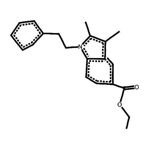 CCOC(=O)c1ccc2c(c1)c(C)c(C)n2CCc1ccccc1